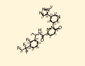 C[C@@H](NC(=O)c1ccc(=O)n(-c2cncc(-c3cnnn3C)c2)n1)c1cccc(C(F)(F)CF)c1F